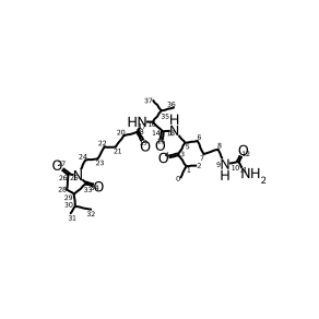 CC(C)C(=O)C(CCCNC(N)=O)NC(=O)C(NC(=O)CCCCCN1C(=O)CC(C(C)C)C1=O)C(C)C